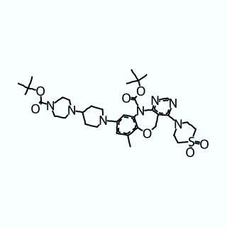 Cc1cc(N2CCC(N3CCN(C(=O)OC(C)(C)C)CC3)CC2)cc2c1OCc1c(N3CCS(=O)(=O)CC3)ncnc1N2C(=O)OC(C)(C)C